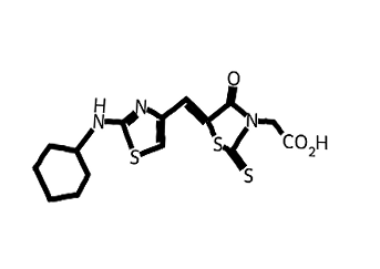 O=C(O)CN1C(=O)C(=Cc2csc(NC3CCCCC3)n2)SC1=S